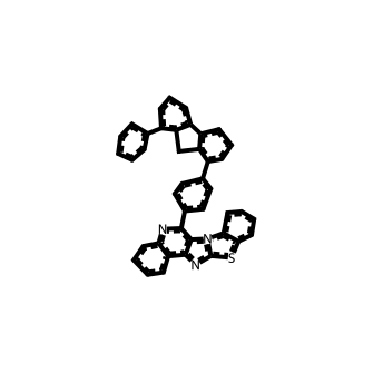 c1ccc(-c2cccc3c2Cc2c(-c4ccc(-c5nc6ccccc6c6nc7sc8ccccc8n7c56)cc4)cccc2-3)cc1